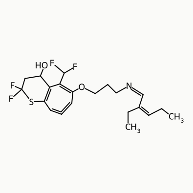 CC/C=C(\C=N/CCCOC1=C(C(F)F)C2=C(C=C=C1)SC(F)(F)CC2O)CC